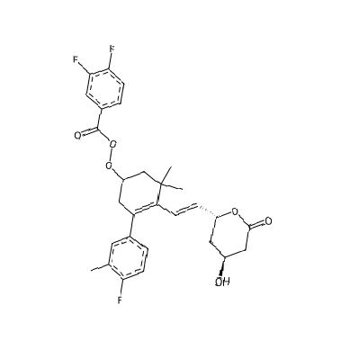 Cc1cc(C2=C(C=C[C@H]3C[C@H](O)CC(=O)O3)C(C)(C)CC(OOC(=O)c3ccc(F)c(F)c3)C2)ccc1F